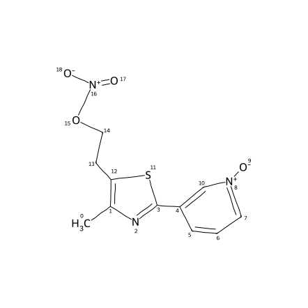 Cc1nc(-c2ccc[n+]([O-])c2)sc1CCO[N+](=O)[O-]